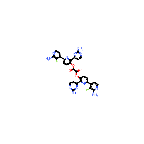 Nc1nccc(-c2nc(-c3ccnc(N)c3F)ccc2OC(=O)C(=O)Oc2ccc(-c3ccnc(N)c3F)nc2-c2ccnc(N)n2)n1